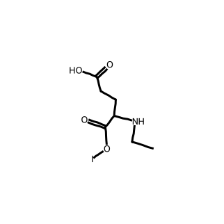 CCNC(CCC(=O)O)C(=O)OI